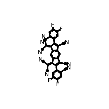 N#CC(C#N)=C1C(c2cc(F)c(F)cc2C#N)=C(C#N)c2cc3c(cc21)C(=C(C#N)C#N)C(c1cc(F)c(F)cc1C#N)=C3C#N